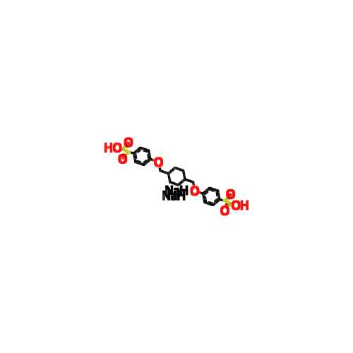 O=S(=O)(O)c1ccc(OCC2CCC(COc3ccc(S(=O)(=O)O)cc3)CC2)cc1.[NaH].[NaH]